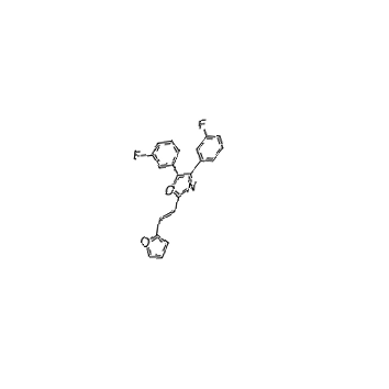 Fc1cccc(-c2nc(/C=C/c3ccco3)oc2-c2cccc(F)c2)c1